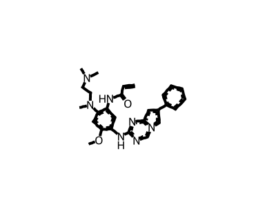 C=CC(=O)Nc1cc(Nc2ncn3cc(-c4ccccc4)cc3n2)c(OC)cc1N(C)CCN(C)C